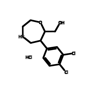 Cl.OCC1OCCNCC1c1ccc(Cl)c(Cl)c1